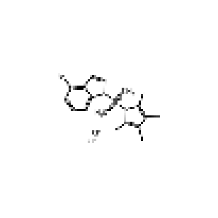 CC1=C(C)[CH]([Zr-2](=[SiH2])(=[SiH2])[CH]2C=Cc3c(Br)cccc32)C(C)=C1C.[Cl-].[Cl-]